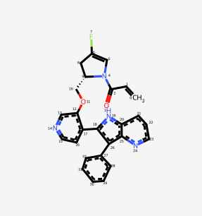 C=CC(=O)N1C=C(F)C[C@H]1COc1cnccc1-c1[nH]c2cccnc2c1-c1ccccc1